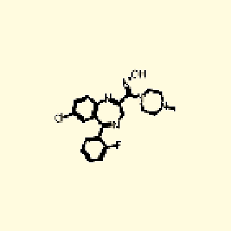 CN1CCN(C(=NO)C2=Nc3ccc(Cl)cc3C(c3ccccc3F)=NC2)CC1